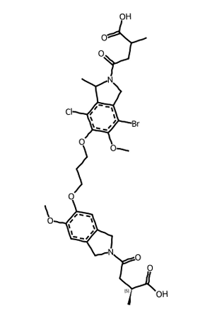 COc1cc2c(cc1OCCCOc1c(Cl)c3c(c(Br)c1OC)CN(C(=O)CC(C)C(=O)O)C3C)CN(C(=O)C[C@H](C)C(=O)O)C2